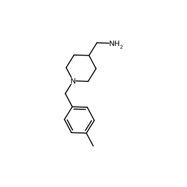 Cc1ccc(CN2CCC(CN)CC2)cc1